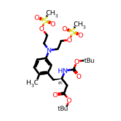 Cc1ccc(N(CCOS(C)(=O)=O)CCOS(C)(=O)=O)cc1C[C@H](CC(=O)OC(C)(C)C)NC(=O)OC(C)(C)C